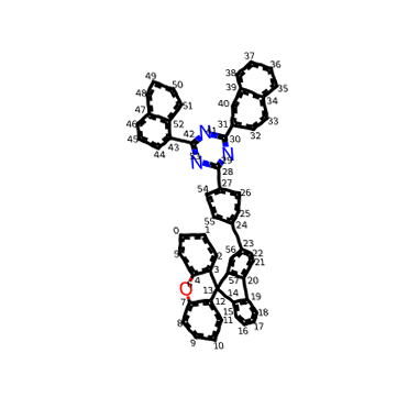 c1ccc2c(c1)Oc1ccccc1C21c2ccccc2-c2ccc(-c3ccc(-c4nc(-c5ccc6ccccc6c5)nc(-c5cccc6ccccc56)n4)cc3)cc21